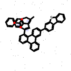 C\C1=C(c2ccccc2)/C=C(c2cccc3c4ccccc4c4cc(-c5ccc6c(c5)sc5ccccc56)ccc4c23)\C=C(\c2ccccc2)CC1